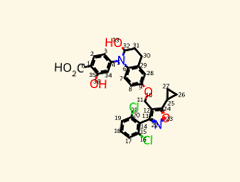 O=C(O)c1ccc(N2c3ccc(OCc4c(-c5c(Cl)cccc5Cl)noc4C4CC4)cc3CCC2O)cc1O